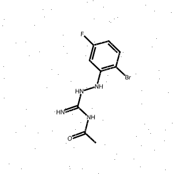 CC(=O)NC(=N)NNc1cc(F)ccc1Br